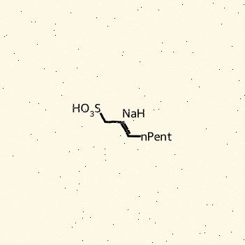 CCCCCC=CCS(=O)(=O)O.[NaH]